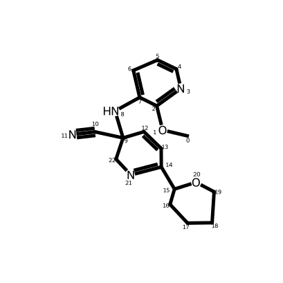 COc1ncccc1NC1(C#N)C=CC(C2CCCCO2)=NC1